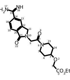 CCOC(=O)COC1CCN(C(=O)CN2Cc3cc(C(=N)N)ccc3C2=O)CC1